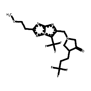 COCCc1nn2c(C(F)(F)F)c(CN3CC(=O)C(CCC(F)(F)F)C3)nc2s1